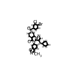 Cc1noc2cc(-n3c(=O)c4c(n5ncc(Cc6ccccc6)c35)CN(C(=O)c3ccc(Br)c(Cl)c3)CC4)ccc12